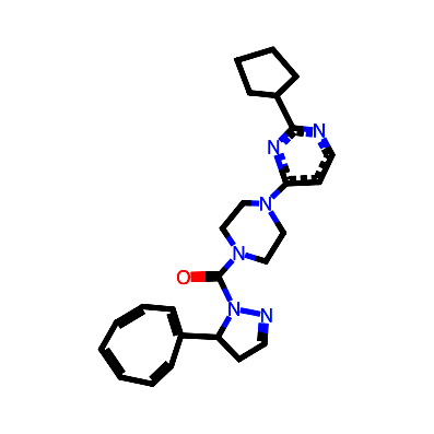 O=C(N1CCN(c2ccnc(C3CCCC3)n2)CC1)N1N=CCC1C1=C/C=C\C=C/C=C\1